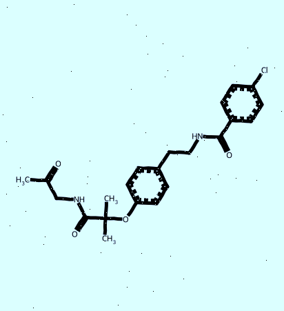 CC(=O)CNC(=O)C(C)(C)Oc1ccc(CCNC(=O)c2ccc(Cl)cc2)cc1